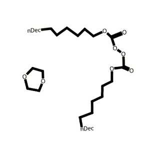 C1COCCO1.CCCCCCCCCCCCCCCCOC(=O)OOC(=O)OCCCCCCCCCCCCCCCC